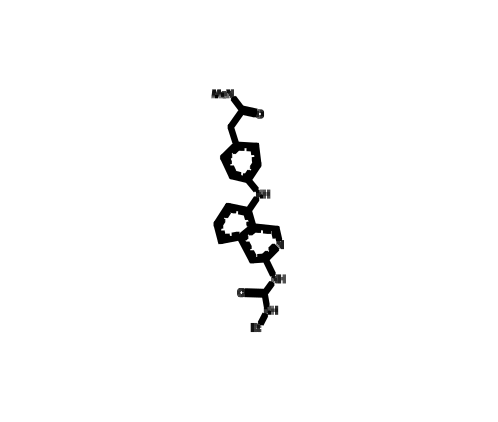 CCNC(=O)Nc1cc2cccc(Nc3ccc(CC(=O)NC)cc3)c2cn1